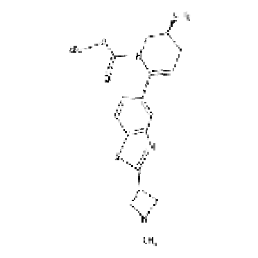 C[C@H]1CC=C(c2ccc3sc(C4CN(C)C4)nc3c2)N(C(=O)OC(C)(C)C)C1